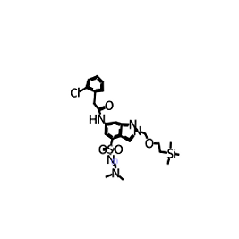 CN(C)/C=N/S(=O)(=O)c1cc(NC(=O)Cc2ccccc2Cl)cc2nn(COCC[Si](C)(C)C)cc12